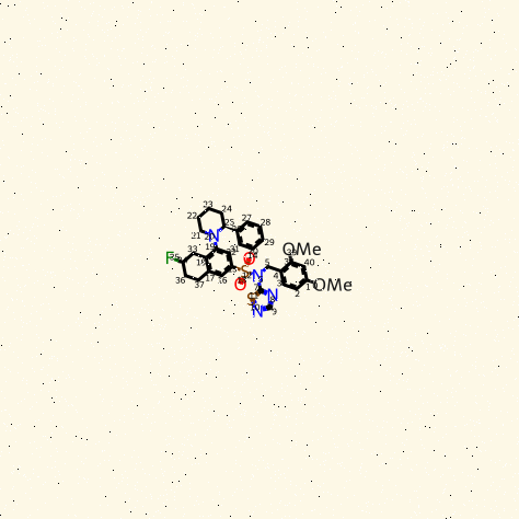 COc1ccc(CN(c2ncns2)S(=O)(=O)c2cc3c(c(N4CCCC[C@H]4c4ccccc4)c2)CC(F)CC3)c(OC)c1